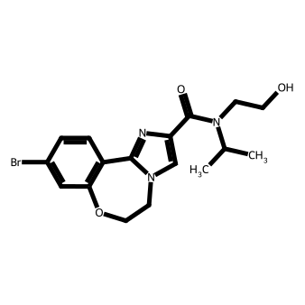 CC(C)N(CCO)C(=O)c1cn2c(n1)-c1ccc(Br)cc1OCC2